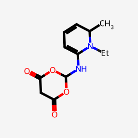 CCN1C(NC2OC(=O)CC(=O)O2)=CC=CC1C